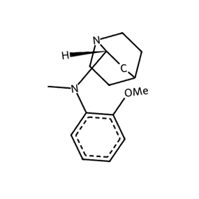 COc1ccccc1N(C)[C@H]1CC2CCN1CC2